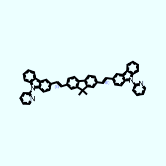 CC1(C)c2cc(/C=C/c3ccc4c(c3)c3ccccc3n4-c3ccccn3)ccc2-c2ccc(/C=C/c3ccc4c(c3)c3ccccc3n4-c3ccccn3)cc21